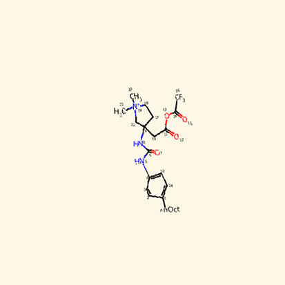 CCCCCCCCc1ccc(NC(=O)NC2(CC(=O)OC(=O)C(F)(F)F)CC[N+](C)(C)C2)cc1